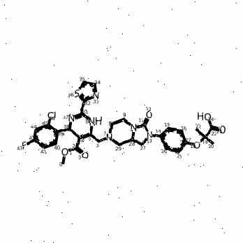 COC(=O)C1=C(CN2CCN3C(=O)N(c4ccc(OC(C)(C)C(=O)O)cc4)CC3C2)NC(c2nccs2)=NC1c1ccc(F)cc1Cl